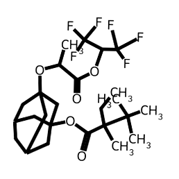 CCC(C)(C(=O)OC12CC3CC(C1)CC(OC(C)C(=O)OC(C(F)(F)F)C(F)(F)F)(C3)C2)C(C)(C)C